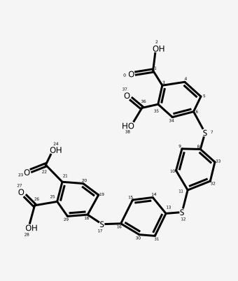 O=C(O)c1ccc(Sc2ccc(Sc3ccc(Sc4ccc(C(=O)O)c(C(=O)O)c4)cc3)cc2)cc1C(=O)O